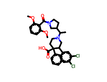 COc1cccc(OC)c1C(=O)N1CCC(C(C)N2CCC(C(=O)O)(c3ccccc3)C(c3ccc(Cl)c(Cl)c3)C2)C1